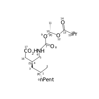 CCCCC[C@@H](C)C[C@H](CNC(=O)O[C@H](C)OC(=O)C(C)C)CC(=O)O